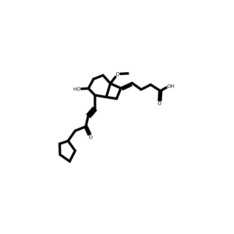 COC12CCC(O)C(C#CC(=O)CC3CCCC3)C1CC2=CCCC(=O)O